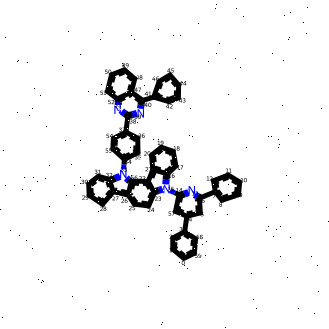 c1ccc(-c2cc(-c3ccccc3)nc(-n3c4ccccc4c4c3ccc3c5ccccc5n(-c5ccc(-c6nc(-c7ccccc7)c7ccccc7n6)cc5)c34)c2)cc1